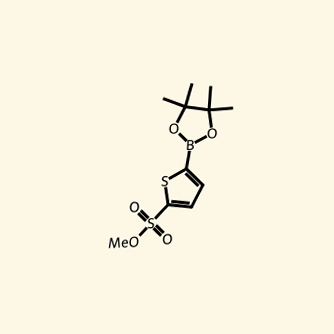 COS(=O)(=O)c1ccc(B2OC(C)(C)C(C)(C)O2)s1